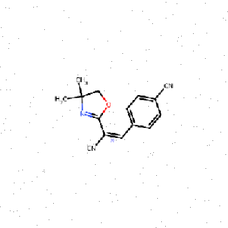 [C-]#[N+]/C(=C/c1ccc(C#N)cc1)C1=NC(C)(C)CO1